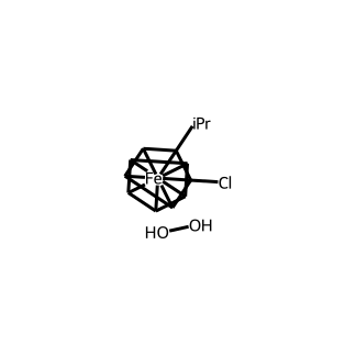 CC(C)[C]12[CH]3[CH]4[CH]5[C]1(Cl)[Fe]45321678[CH]2[CH]1[CH]6[CH]7[CH]28.OO